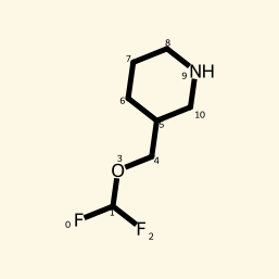 FC(F)OCC1CCCNC1